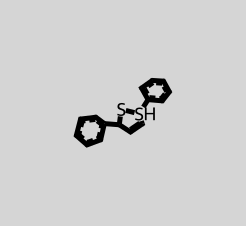 C1=C[SH](c2ccccc2)SC1c1ccccc1